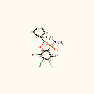 CN(C)S(=O)(=O)c1c(F)c(F)c(F)c(F)c1OCc1ccccc1